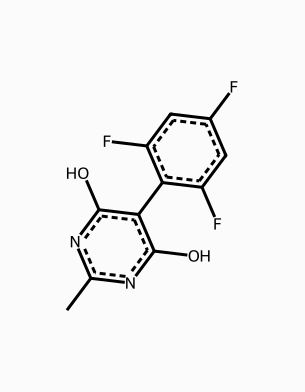 Cc1nc(O)c(-c2c(F)cc(F)cc2F)c(O)n1